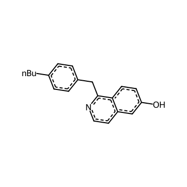 CCCCc1ccc(Cc2nccc3cc(O)ccc23)cc1